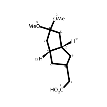 COC1(OC)C[C@H]2CC(CC(=O)O)C[C@H]2C1